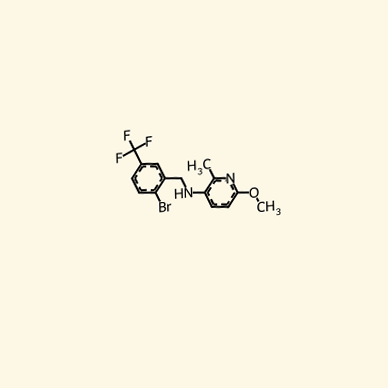 COc1ccc(NCc2cc(C(F)(F)F)ccc2Br)c(C)n1